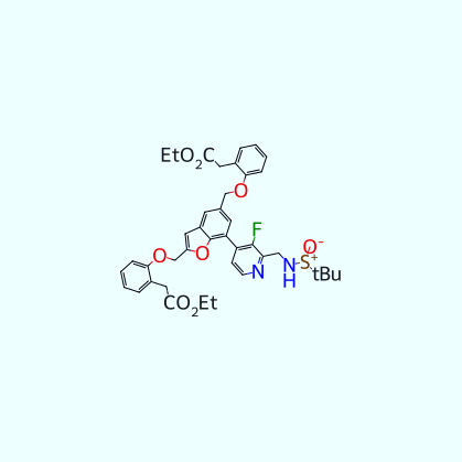 CCOC(=O)Cc1ccccc1OCc1cc(-c2ccnc(CN[S+]([O-])C(C)(C)C)c2F)c2oc(COc3ccccc3CC(=O)OCC)cc2c1